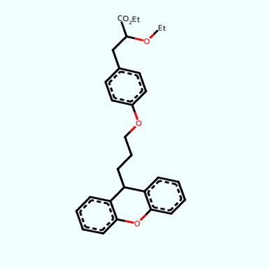 CCOC(=O)C(Cc1ccc(OCCCC2c3ccccc3Oc3ccccc32)cc1)OCC